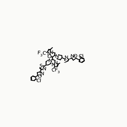 Cc1cc(C(F)(F)F)nn1CC(C(=O)C(Cn1nc(C(F)(F)F)cc1C)N1CCC(c2nc(C3=NOC(c4ccccc4Cl)C3)cs2)CC1)N1CCC(c2nc(C3=NOC(c4ccccc4Cl)C3)cs2)CC1